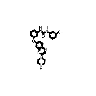 Cc1cccc(NC(=O)Nc2cccc(Oc3ccc4ncc(N5CCNCC5)nc4c3)c2)c1